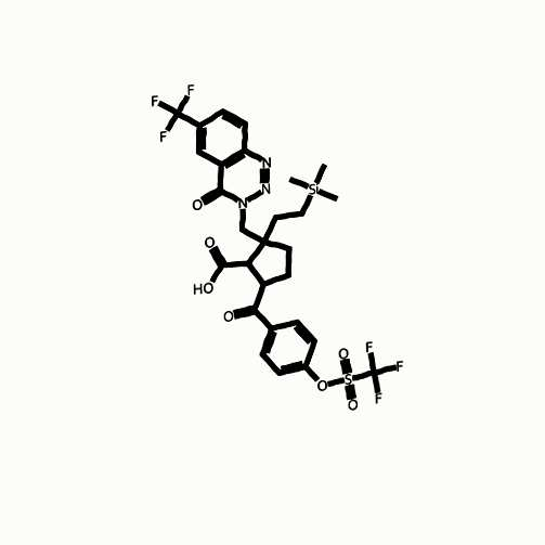 C[Si](C)(C)CCC1(Cn2nnc3ccc(C(F)(F)F)cc3c2=O)CCC(C(=O)c2ccc(OS(=O)(=O)C(F)(F)F)cc2)C1C(=O)O